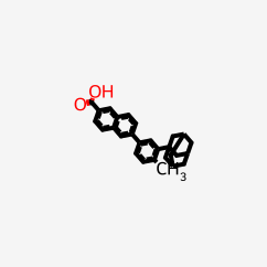 Cc1ccc(-c2ccc3cc(C(=O)O)ccc3c2)cc1C12CC3CC(CC(C3)C1)C2